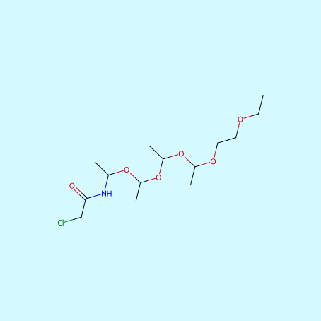 CCOCCOC(C)OC(C)OC(C)OC(C)NC(=O)CCl